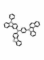 c1ccc(-n2c3ccccc3c3cc(N(c4ccc(-n5c6ccccc6c6c7ccccc7ccc65)cc4)c4ccc5oc6ccccc6c5c4)ccc32)cc1